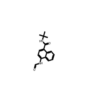 CC(C)(C)NC(=O)c1ccc(N[C]=O)c2ccccc12